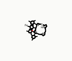 Cc1cc(C)c(C2=Cc3cc4ccc(cc5nc(cc6[nH]c(c(-c7c(C)cc(C)cc7C)c2n3)c(-c2c(C)cc(C)cc2C)c6-c2c(C)cc(C)cc2C)C=C5)[nH]4)c(C)c1.[Fe]